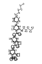 CCCCCCc1ccc(-c2ccc(C(=O)Oc3ccc(C(=O)Oc4ccc([N+](=O)[O-])c(Cl)c4)c(Cl)c3)c(CCCCCC)c2)cc1